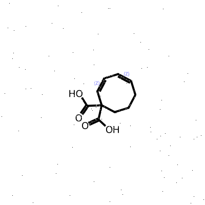 O=C(O)C1(C(=O)O)/C=C\C=C/CCC1